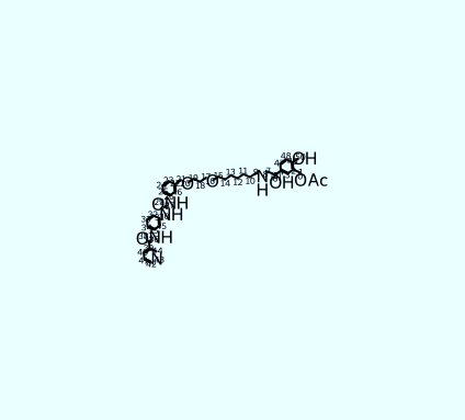 CC(=O)OCc1cc([C@@H](O)CNCCCCCCCOCCCOCc2cccc(NC(=O)Nc3cccc(NC(=O)c4cccnc4)c3)c2)ccc1O